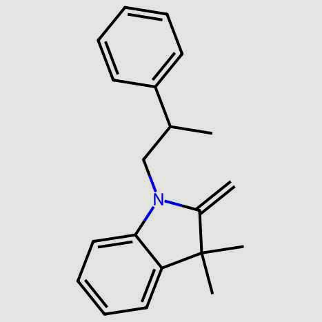 C=C1N(CC(C)c2ccccc2)c2ccccc2C1(C)C